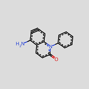 Nc1c#ccc2c1ccc(=O)n2-c1ccccc1